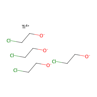 [O-]CCCl.[O-]CCCl.[O-]CCCl.[O-]CCCl.[Ti+4]